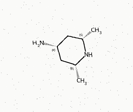 C[C@@H]1C[C@H](N)C[C@H](C)N1